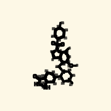 COc1cc(C)c2c(ccn2S(=O)(=O)c2ccc(C)cc2)c1CN1CCN(C)CC1c1ccc2c(=O)[nH][nH]c2c1